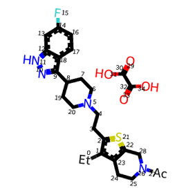 CCc1c(CCN2CCC(c3n[nH]c4cc(F)ccc34)CC2)sc2c1CCN(C(C)=O)C2.O=C(O)C(=O)O